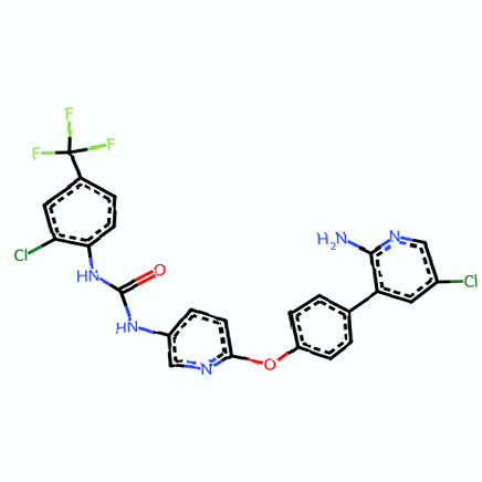 Nc1ncc(Cl)cc1-c1ccc(Oc2ccc(NC(=O)Nc3ccc(C(F)(F)F)cc3Cl)cn2)cc1